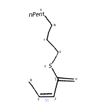 C=C(/C=C\C)SCCCCCCCC